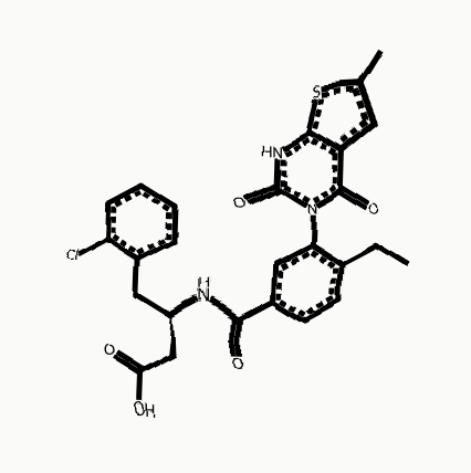 CCc1ccc(C(=O)N[C@@H](CC(=O)O)Cc2ccccc2Cl)cc1-n1c(=O)[nH]c2sc(C)cc2c1=O